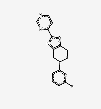 Fc1cccc(C2CCc3oc(-c4ccncn4)nc3C2)c1